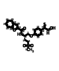 CS(=O)(=O)CC[C@@H](COc1ccc(C(=S)NO)cc1)NC(=O)c1cc2ccccc2o1